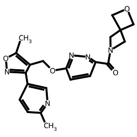 Cc1ccc(-c2noc(C)c2COc2ccc(C(=O)N3CC4(COC4)C3)nn2)cn1